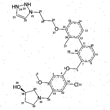 COc1cc(OCc2cccc(-c3cccc(OCCCN4C=CNN4)c3C)c2C)c(Cl)cc1CN1CC[C@@H](O)C1